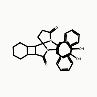 O=C1CCC2(C3C4CCCCC4C3C(=O)N2c2ccc(O)c3ccccc23)N1c1ccc(O)c2ccccc12